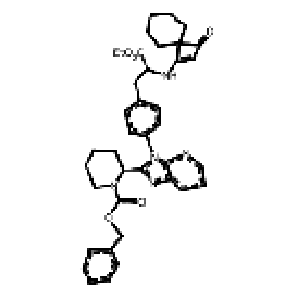 CCOC(=O)[C@H](Cc1ccc(-n2c([C@@H]3CCCCN3C(=O)OCc3ccccc3)nc3cccnc32)cc1)NC1=CC(=O)C12CCCCC2